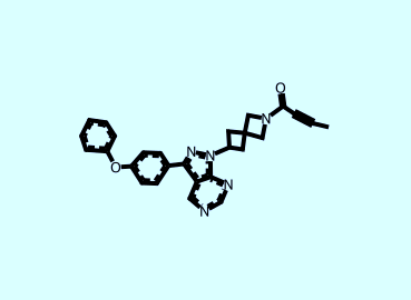 CC#CC(=O)N1CC2(CC(n3nc(-c4ccc(Oc5ccccc5)cc4)c4cncnc43)C2)C1